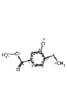 CCc1cnc(C(=O)OC)cc1Cl